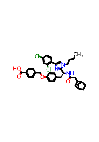 CCCCn1cc(-c2ccc(Cl)cc2Cl)nc1[C@H](Cc1ccc(OCc2ccc(C(=O)O)cc2)cc1)NC(=O)CC1CC2CCC1C2